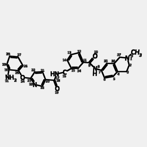 CN1CCc2ccc(NC(=O)c3cccc(CNC(=O)c4ccc(Oc5ccccc5N)nc4)c3)cc2C1